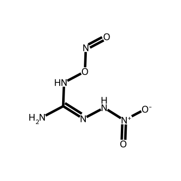 NC(=NN[N+](=O)[O-])NON=O